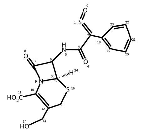 O=S=C(C(=O)NC1C(=O)N2C(C(=O)O)=C(CO)CS[C@H]12)c1ccccc1